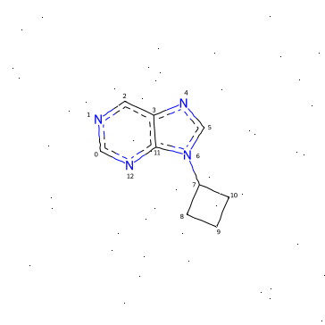 c1ncc2ncn(C3CCC3)c2n1